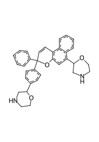 C1=CC(c2ccccc2)(c2ccc(C3CNCCO3)cc2)Oc2cc(C3CNCCO3)c3ccccc3c21